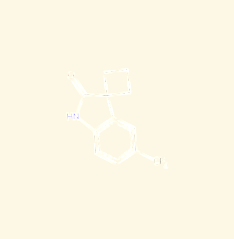 O=C1Nc2ccc(C(F)(F)F)cc2C12CCC2